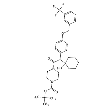 CC(C)(C)OC(=O)N1CCN(C(=O)C(c2ccc(OCc3cccc(C(F)(F)F)c3)cc2)C2(O)CCCCC2)CC1